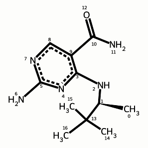 C[C@H](Nc1nc(N)ncc1C(N)=O)C(C)(C)C